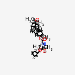 CC(=O)[C@H]1CC[C@H]2[C@@H]3CC[C@H]4C[C@](C)(OC(=O)CNC(C)(C)C(=O)OCc5ccccc5)CC[C@]4(C)[C@H]3CC[C@]12C